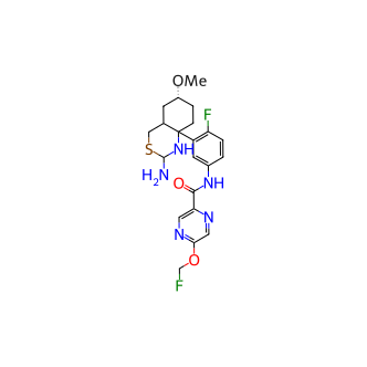 CO[C@@H]1CCC2(c3cc(NC(=O)c4cnc(OCF)cn4)ccc3F)NC(N)SCC2C1